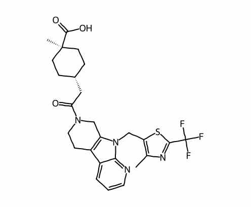 Cc1nc(C(F)(F)F)sc1Cn1c2c(c3cccnc31)CCN(C(=O)C[C@H]1CC[C@](C)(C(=O)O)CC1)C2